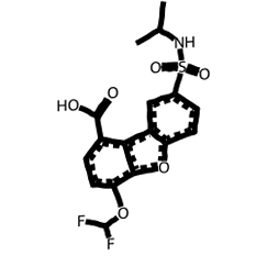 CC(C)NS(=O)(=O)c1ccc2oc3c(OC(F)F)ccc(C(=O)O)c3c2c1